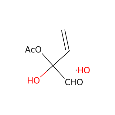 C=CC(O)(C=O)OC(C)=O.[OH]